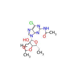 CC[C@H]1O[C@@H](n2cnc3c(Cl)nc(NC(C)=O)nc32)[C@@](C)(O)[C@@H]1OC(C)=O